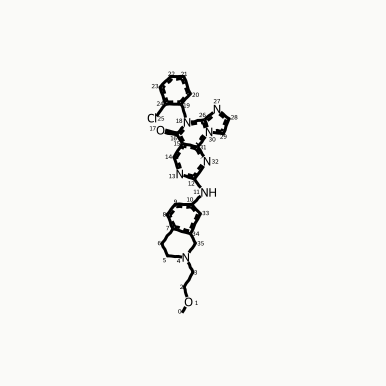 COCCN1CCc2ccc(Nc3ncc4c(=O)n(-c5ccccc5Cl)c5nccn5c4n3)cc2C1